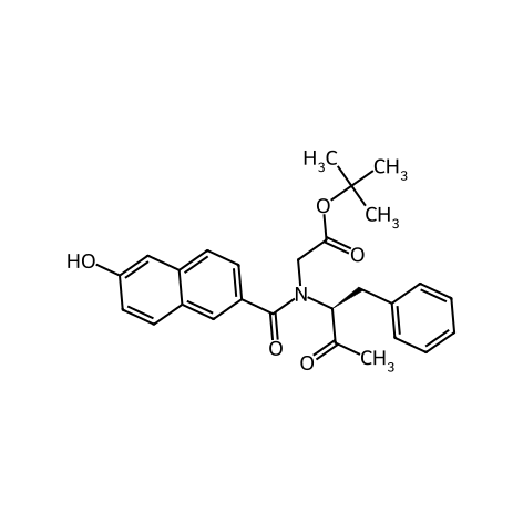 CC(=O)[C@H](Cc1ccccc1)N(CC(=O)OC(C)(C)C)C(=O)c1ccc2cc(O)ccc2c1